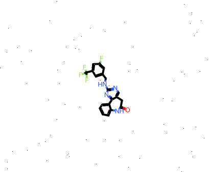 O=C1Cc2cnc(NCc3cc(F)cc(C(F)(F)F)c3)nc2-c2ccccc2N1